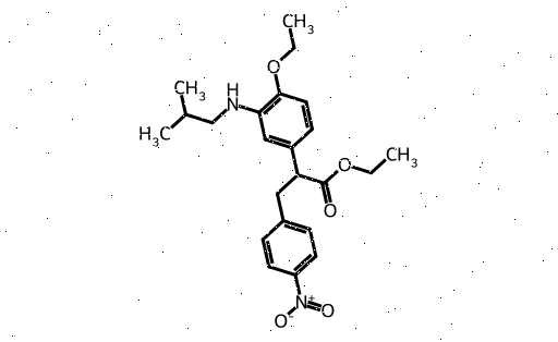 CCOC(=O)C(Cc1ccc([N+](=O)[O-])cc1)c1ccc(OCC)c(NCC(C)C)c1